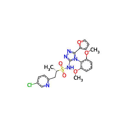 COc1cccc(OC)c1-n1c(NS(=O)(=O)[C@@H](C)Cc2ccc(Cl)cn2)nnc1-c1ccco1